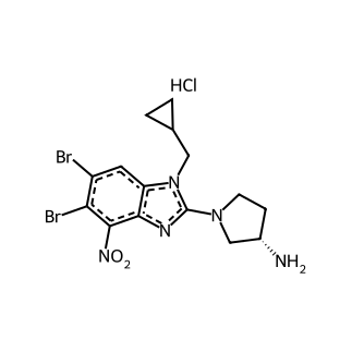 Cl.N[C@H]1CCN(c2nc3c([N+](=O)[O-])c(Br)c(Br)cc3n2CC2CC2)C1